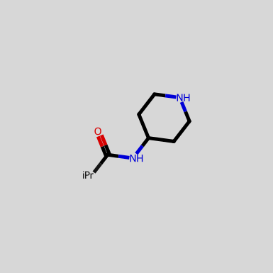 CC(C)C(=O)NC1CCNCC1